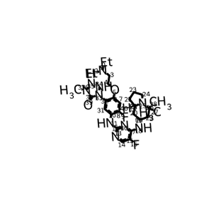 CCN(CC)CCOc1cc(F)c(Nc2ncc(F)c(N[C@@H]3C[C@@H]4CCCN4C(C)(C)C3)n2)cc1N1NNN(C)C1=O